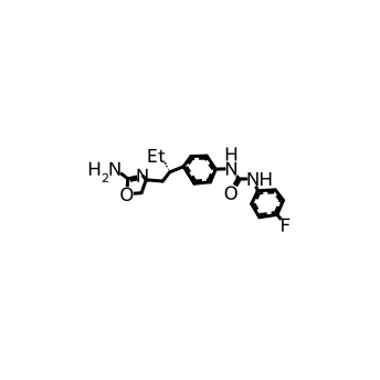 CC[C@@H](CC1COC(N)=N1)c1ccc(NC(=O)Nc2ccc(F)cc2)cc1